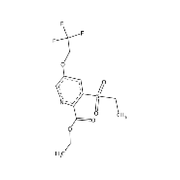 CCOC(=O)c1ncc(OCC(F)(F)F)cc1S(=O)(=O)CC